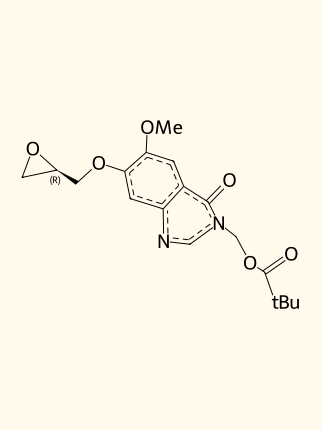 COc1cc2c(=O)n(COC(=O)C(C)(C)C)cnc2cc1OC[C@H]1CO1